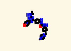 CC(C)Nc1nc(-c2ccc(NC(=O)Nc3ccc(CN4CCN(C)CC4)cc3)cc2)nc(N2C3CCC2COC3)n1